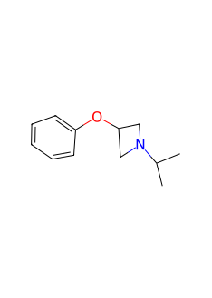 CC(C)N1CC(Oc2ccccc2)C1